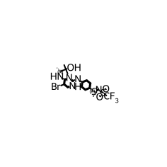 C[C@@H](Nc1nc(Nc2ccc([S@](C)=NS(=O)(=O)C(F)(F)F)cc2)ncc1Br)C(C)(C)O